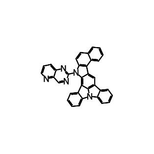 c1ccc2c(c1)ccc1c2c2cc3c4ccccc4n4c5ccccc5c(c2n1-c1ncc2ncccc2n1)c34